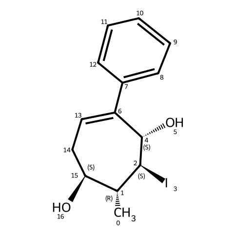 C[C@H]1[C@H](I)[C@@H](O)C(c2ccccc2)=CC[C@@H]1O